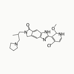 COC1NC=CC(Cl)=C1c1nc2cc3c(cc2[nH]1)C(=O)N(CC(C)CN1CCCC1)C3